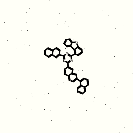 c1ccc2cc(-c3nc(-c4ccc5ccc(-c6cccc7ccccc67)cc5c4)nc(-c4cccc5oc6ccccc6c45)n3)ccc2c1